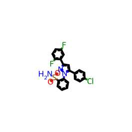 NS(=O)(=O)c1ccccc1-n1nc(-c2cc(F)ccc2F)cc1-c1ccc(Cl)cc1